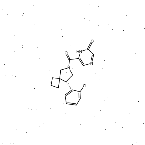 O=C(c1cncc(=O)[nH]1)N1C[C@H](c2ccccc2Cl)C2(CCC2)C1